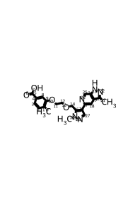 Cc1ccc(C(=O)O)cc1OCCOCc1c(-c2cc3c(C)n[nH]c3cn2)cnn1C